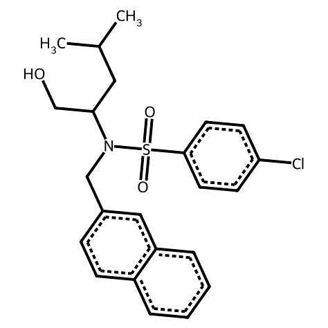 CC(C)CC(CO)N(Cc1ccc2ccccc2c1)S(=O)(=O)c1ccc(Cl)cc1